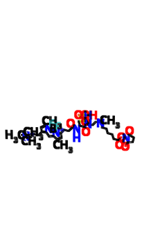 CC1=CC(CCC(=O)NC(CS(=O)(=O)O)C(=O)NCCN(C)CCCCCC(=O)ON2C(=O)CCC2=O)=[N+]2C1=Cc1c(CCC[N+](C)(C)C)cc(C)n1[B-]2(F)F